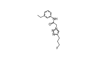 CCc1cccc(NC(=O)Cn2cc(CCCF)nn2)c1